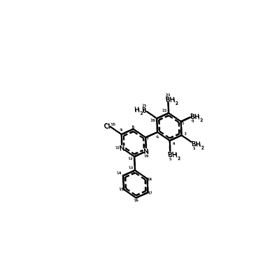 Bc1c(B)c(B)c(-c2cc(Cl)nc(-c3ccccc3)n2)c(B)c1B